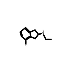 CCNC1Cc2cccc(Cl)c2C1